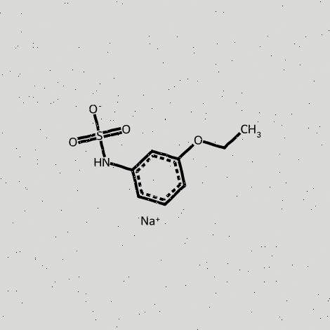 CCOc1cccc(NS(=O)(=O)[O-])c1.[Na+]